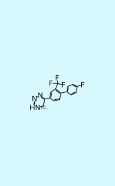 C[C@@H]1NC=NN=C1c1ccc(-c2ccc(F)cc2)c(C(F)(F)F)c1